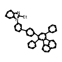 CCc1nc2ccccc2n1-c1cccc(-c2ccc(-c3cc(-c4ccccc4)c4c(c3-c3ccccc3)-c3cccc5cccc-4c35)cc2)c1